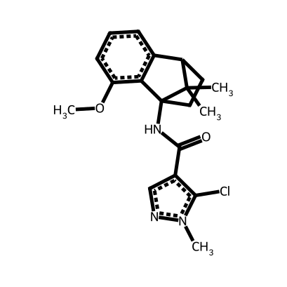 COc1cccc2c1C1(NC(=O)c3cnn(C)c3Cl)CCC2C1(C)C